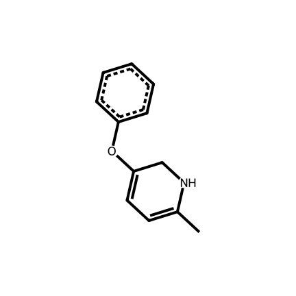 CC1=CC=C(Oc2ccccc2)CN1